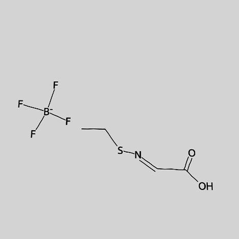 CCSN=CC(=O)O.F[B-](F)(F)F